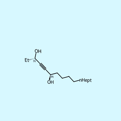 CCCCCCCCCCC[C@@H](O)C#C[C@@H](O)CC